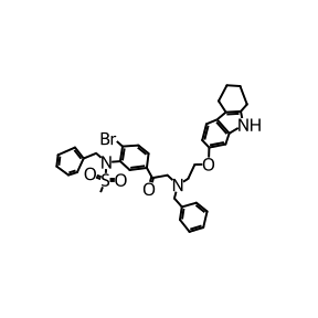 CS(=O)(=O)N(Cc1ccccc1)c1cc(C(=O)CN(CCOc2ccc3c4c([nH]c3c2)CCCC4)Cc2ccccc2)ccc1Br